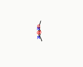 CCCCCCCC[C@]1(C#N)CC[C@H](C(=O)Oc2ccc(-c3ccc(OCCCCCCC)cn3)cc2)CC1